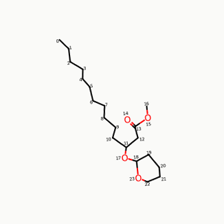 CCCCCCCCCCCC(CC(=O)OC)OC1CCCCO1